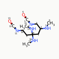 CNC(CN=C=O)CC(CCN=C=O)(NC)NC